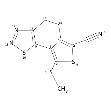 CSc1sc(C#N)c2c1-c1snnc1CC2